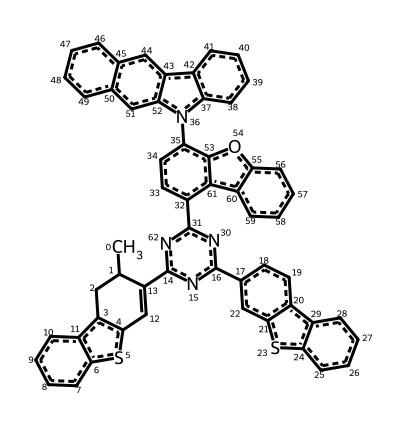 CC1Cc2c(sc3ccccc23)C=C1c1nc(-c2ccc3c(c2)sc2ccccc23)nc(-c2ccc(-n3c4ccccc4c4cc5ccccc5cc43)c3oc4ccccc4c23)n1